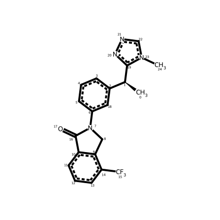 C[C@@H](c1cccc(N2Cc3c(cccc3C(F)(F)F)C2=O)c1)c1nncn1C